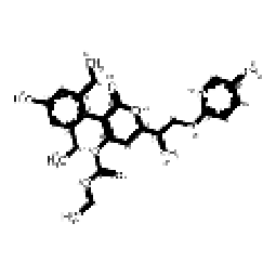 CCOC(=O)OC1=C(c2c(CC)cc(C)cc2CC)C(=O)OC(C(C)CSc2ccc(C)cn2)C1